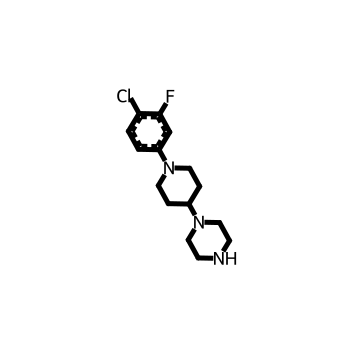 Fc1cc(N2CCC(N3CCNCC3)CC2)ccc1Cl